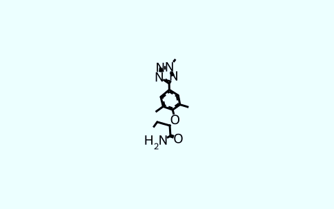 CCC(Oc1c(C)cc(-c2nnn(C)n2)cc1C)C(N)=O